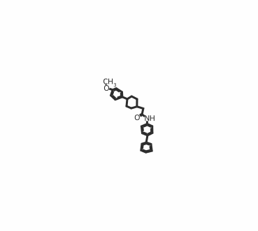 COc1ccc(C2CCC(CC(=O)Nc3ccc(-c4ccccc4)cc3)CC2)cc1